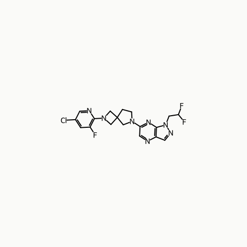 Fc1cc(Cl)cnc1N1CC2(CCN(c3cnc4cnn(CC(F)F)c4n3)C2)C1